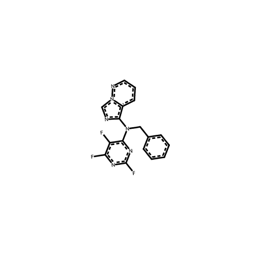 Fc1nc(F)c(F)c(N(Cc2ccccc2)c2ncn3ncccc23)n1